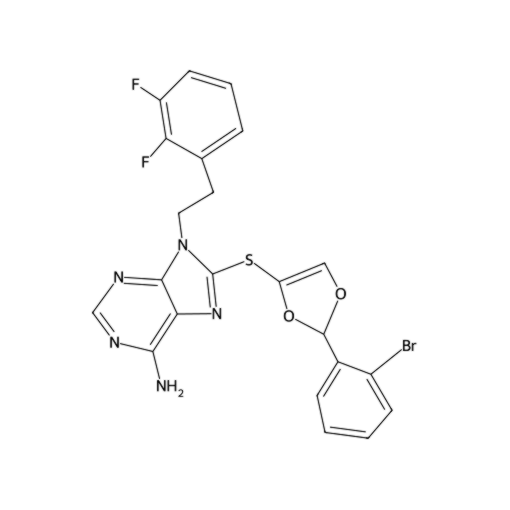 Nc1ncnc2c1nc(SC1=COC(c3ccccc3Br)O1)n2CCc1cccc(F)c1F